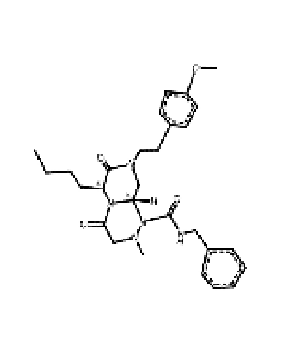 CCCC[C@H]1C(=O)N(CCc2ccc(OC)cc2)C[C@H]2N1C(=O)CN(C)N2C(=O)NCc1ccccc1